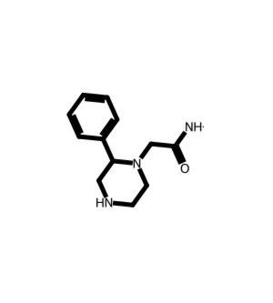 [NH]C(=O)CN1CCNCC1c1ccccc1